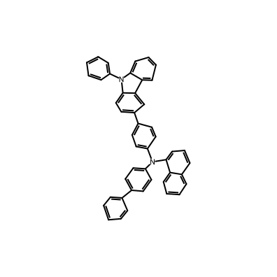 c1ccc(-c2ccc(N(c3ccc(-c4ccc5c(c4)c4ccccc4n5-c4ccccc4)cc3)c3cccc4ccccc34)cc2)cc1